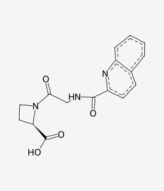 O=C(NCC(=O)N1CC[C@@H]1C(=O)O)c1ccc2ccccc2n1